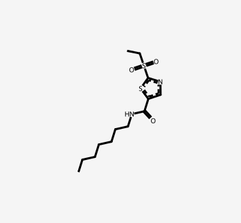 CCCCCCCNC(=O)c1cnc(S(=O)(=O)CC)s1